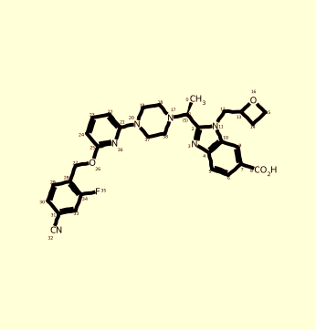 C[C@@H](c1nc2ccc(C(=O)O)cc2n1CC1CCO1)N1CCN(c2cccc(OCc3ccc(C#N)cc3F)n2)CC1